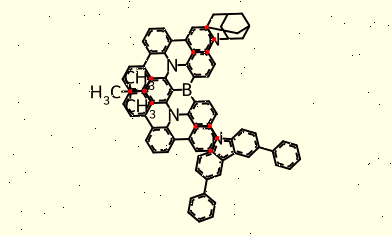 CC(C)(C)c1cc2c3c(c1)N(c1c(-c4ccccc4)cccc1-c1ccccc1)c1cc(-n4c5ccc(-c6ccccc6)cc5c5cc(-c6ccccc6)ccc54)ccc1B3c1ccc(N3C4CC5CC(C4)CC3C5)cc1N2c1c(-c2ccccc2)cccc1-c1ccccc1